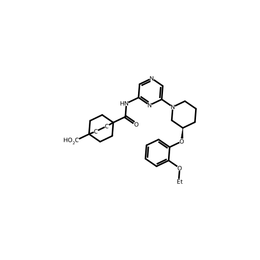 CCOc1ccccc1O[C@@H]1CCCN(c2cncc(NC(=O)C34CCC(C(=O)O)(CC3)CC4)n2)C1